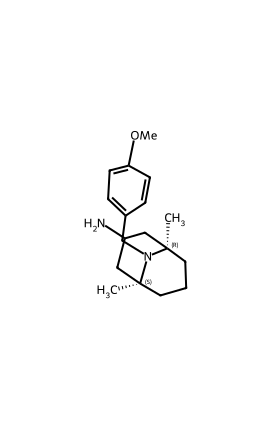 COc1ccc(CN2[C@@]3(C)CCC[C@]2(C)CC(N)C3)cc1